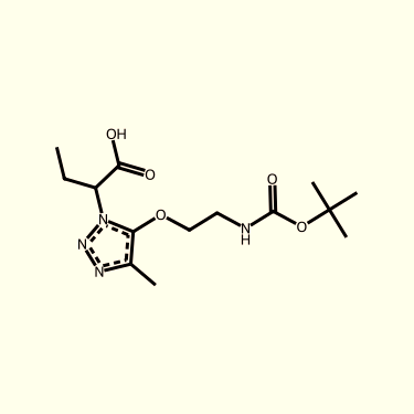 CCC(C(=O)O)n1nnc(C)c1OCCNC(=O)OC(C)(C)C